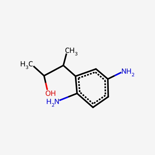 CC(O)C(C)c1cc(N)ccc1N